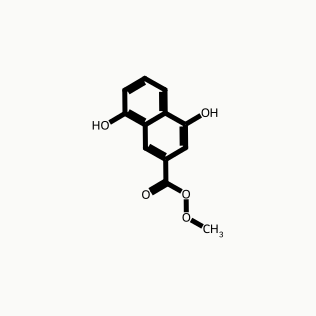 COOC(=O)c1cc(O)c2cccc(O)c2c1